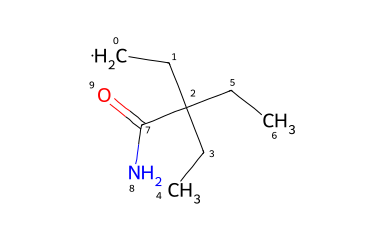 [CH2]CC(CC)(CC)C(N)=O